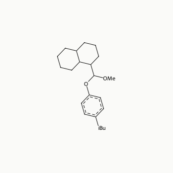 CCC(C)c1ccc(OC(OC)C2CCCC3CCCCC32)cc1